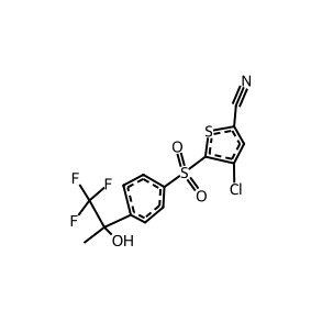 CC(O)(c1ccc(S(=O)(=O)c2sc(C#N)cc2Cl)cc1)C(F)(F)F